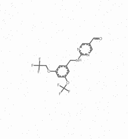 O=Cc1cnc(NCc2cc(OCC(F)(F)F)cc(OC(F)(F)F)c2)nc1